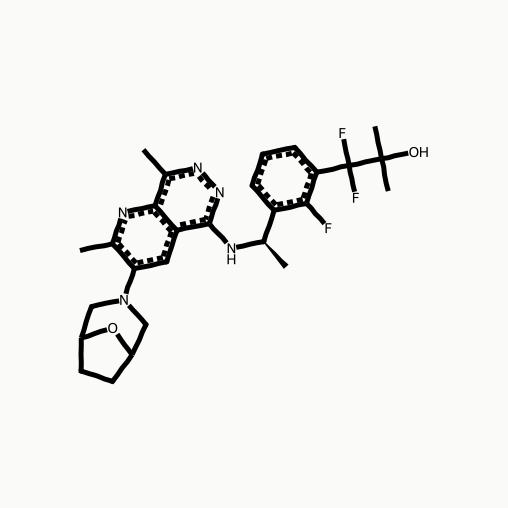 Cc1nc2c(C)nnc(N[C@H](C)c3cccc(C(F)(F)C(C)(C)O)c3F)c2cc1N1CC2CCC(C1)O2